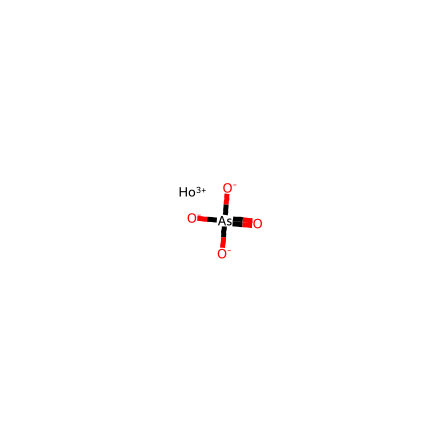 O=[As]([O-])([O-])[O-].[Ho+3]